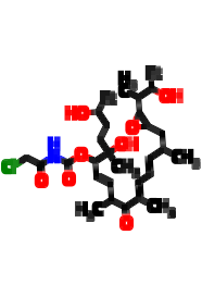 CCC(O)CCC(C)(O)C(/C=C/C(C)C(=O)/C(C)=C/C=C/C(C)CC1OC1C(C)C(O)CC)OC(=O)NC(=O)CCl